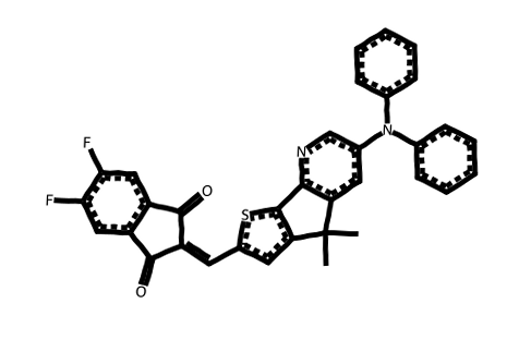 CC1(C)c2cc(N(c3ccccc3)c3ccccc3)cnc2-c2sc(C=C3C(=O)c4cc(F)c(F)cc4C3=O)cc21